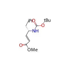 COC(=O)C=C[C@H](CC(C)C)NC(=O)OC(C)(C)C